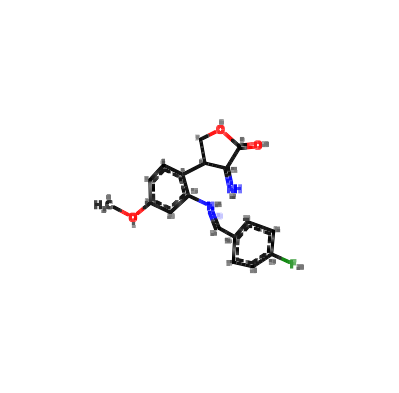 COc1ccc(C2COC(=O)C2=N)c(/N=C/c2ccc(F)cc2)c1